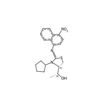 C[C@@H](O)[C@H]1CSC(=Nc2ccc([N+](=O)[O-])c3ccccc23)N1C1CCCC1